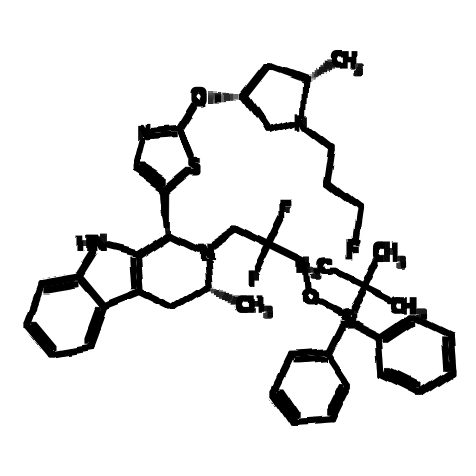 C[C@@H]1Cc2c([nH]c3ccccc23)[C@@H](c2cnc(O[C@@H]3C[C@H](C)N(CCCF)C3)s2)N1CC(F)(F)CO[Si](c1ccccc1)(c1ccccc1)C(C)(C)C